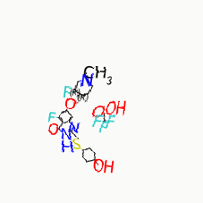 CN1CC[C@H](COc2cc(F)c3c(=O)[nH]c(CS[C@H]4CC[C@H](O)CC4)nc3c2)[C@@H](F)C1.O=C(O)C(F)(F)F